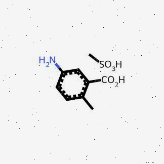 CS(=O)(=O)O.Cc1ccc(N)cc1C(=O)O